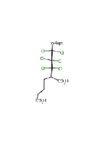 CCCCCCCC(Cl)(Cl)C(Cl)(Cl)C(Cl)(Cl)C(CCCC(=O)O)C(=O)O